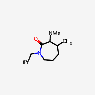 CNC1C(=O)N(CC(C)C)CCCC1C